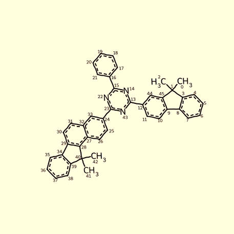 CC1(C)c2ccccc2-c2ccc(-c3nc(-c4ccccc4)nc(-c4ccc5c6c(ccc5c4)-c4ccccc4C6(C)C)n3)cc21